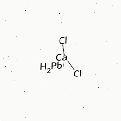 [Cl][Ca][Cl].[PbH2]